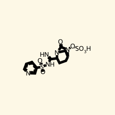 N=C(NS(=O)(=O)c1cccnc1)C1CCC2CN1C(=O)N2OS(=O)(=O)O